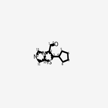 O=Cc1c(C2CCCC2)sc2cncn12